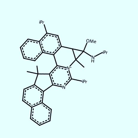 COC1(NC(C)C)C2c3cc(C(C)C)c4ccccc4c3-c3c4c(nc(C(C)C)[n+]3C21C)-c1c(ccc2ccccc12)C4(C)C